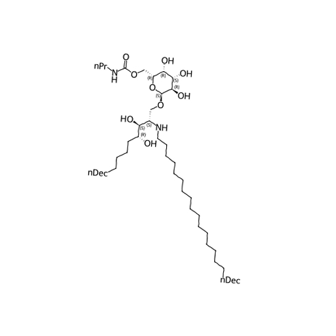 CCCCCCCCCCCCCCCCCCCCCCCCCCN[C@@H](CO[C@H]1O[C@H](COC(=O)NCCC)[C@H](O)[C@H](O)[C@H]1O)[C@H](O)[C@H](O)CCCCCCCCCCCCCC